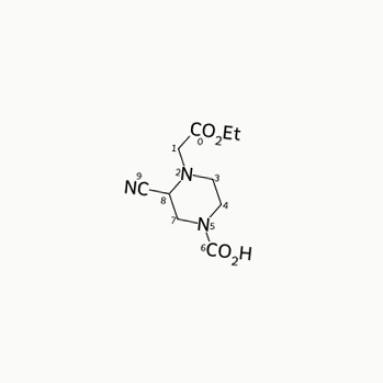 CCOC(=O)CN1CCN(C(=O)O)CC1C#N